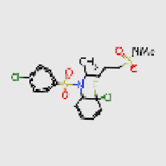 CNS(=O)(=O)CCCC(C)N(C1C=CC=CC1(F)Cl)S(=O)(=O)c1ccc(Cl)cc1